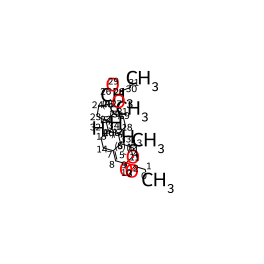 CCC(=O)OC[C@@]12C(=CC(=O)C[C@@H]1C)CC[C@@H]1[C@@H]2CC[C@@]2(C)[C@H]1CC[C@@]2(C)OC(=O)CC